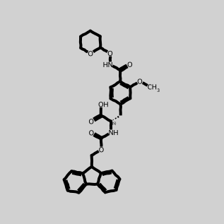 COc1cc(C[C@H](NC(=O)OCC2c3ccccc3-c3ccccc32)C(=O)O)ccc1C(=O)NOC1CCCCO1